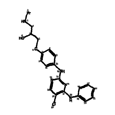 CC(C)NCC(O)COc1ccc(Nc2ncc(Cl)c(Nc3ccccc3)n2)cc1